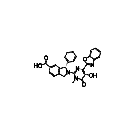 Cn1c(N2Cc3ccc(C(=O)O)cc3[C@@H]2c2ccccc2)nc(-c2nc3ccccc3o2)c(O)c1=O